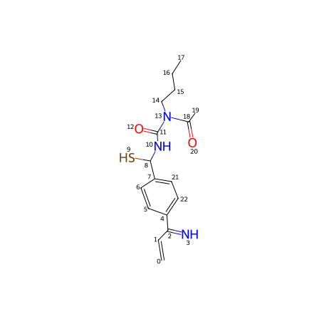 C=CC(=N)c1ccc(C(S)NC(=O)N(CCCC)C(C)=O)cc1